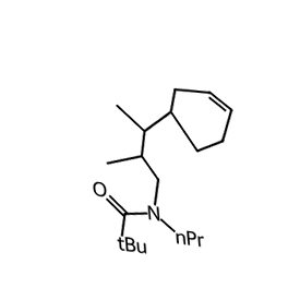 CCCN(CC(C)C(C)C1CC=CCC1)C(=O)C(C)(C)C